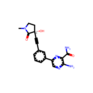 CN1CC[C@@](O)(C#Cc2cccc(-c3cnc(N)c(C(N)=O)n3)c2)C1=O